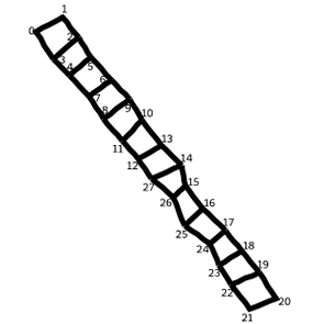 C1CC2C1C1C2C2C1C1C2C2C1C1C2C2C3C4C5C6C7CCC7C6C5C4C3C12